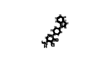 CNc1cnn(C2CCC(n3ccc4ccccc43)CC2)c(=O)c1Cl